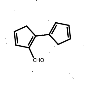 O=CC1=C(C2=CC=CC2)CC=C1